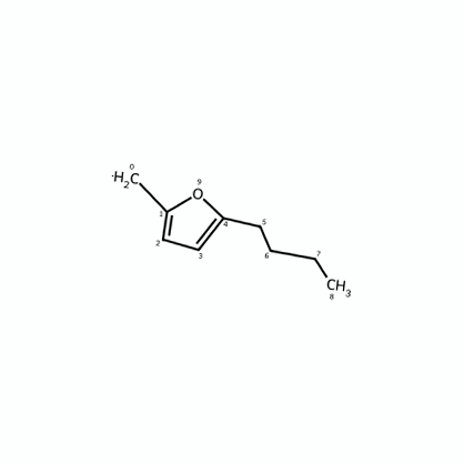 [CH2]c1ccc(CCCC)o1